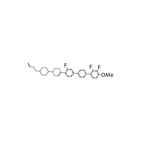 C=CCCC1CCC(C2CC=C(c3ccc(-c4ccc(-c5ccc(OC)c(F)c5F)cc4)cc3F)CC2)CC1